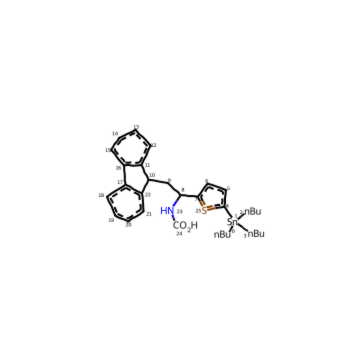 CCC[CH2][Sn]([CH2]CCC)([CH2]CCC)[c]1ccc(C(CC2c3ccccc3-c3ccccc32)NC(=O)O)s1